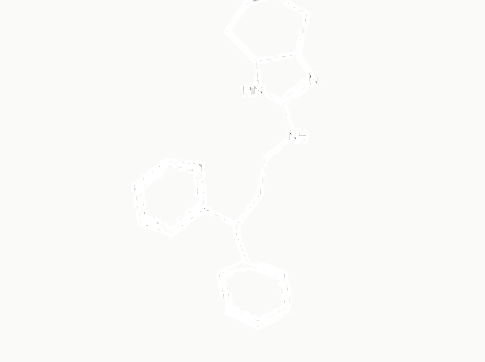 c1ccc(C(CCNC2=NC3CCCCC3N2)c2ccccc2)cc1